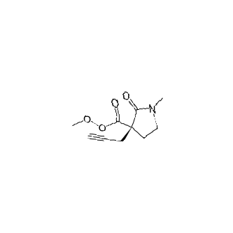 C#CC[C@]1(C(=O)OOC)CCN(C)C1=O